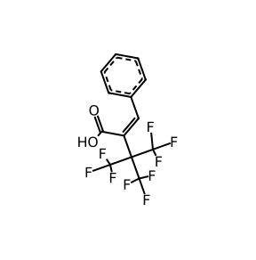 O=C(O)C(=Cc1ccccc1)C(C(F)(F)F)(C(F)(F)F)C(F)(F)F